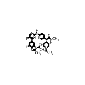 CCN1CCC([C@@H](C(=O)NC)c2ccc(Nc3ncc(F)c(-c4cc(F)c5nc(C)n(C(C)C)c5c4)n3)nc2)CC1